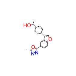 Cc1nnc(-c2ccc3occ(-c4ccc(C(C)O)cc4)c3c2)o1